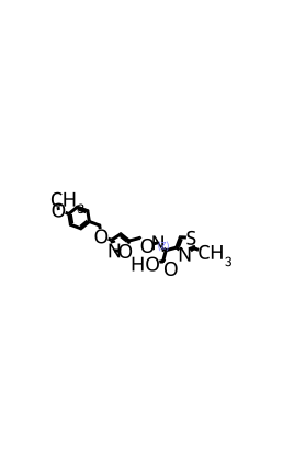 COc1ccc(COc2cc(CO/N=C(\C(=O)O)c3csc(C)n3)on2)cc1